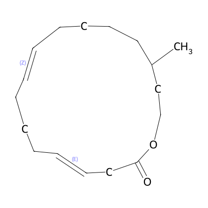 CC1CCCC/C=C\CCC/C=C/CC(=O)OCC1